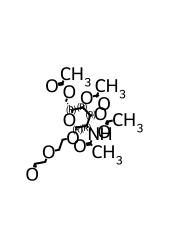 CC(=O)N[C@H]1[C@H](OCCOCC=O)O[C@H](COC(C)=O)[C@H](OC(C)=O)[C@@H]1OC(C)=O